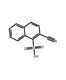 N#Cc1ccc2ccccc2c1S(=O)(=O)O